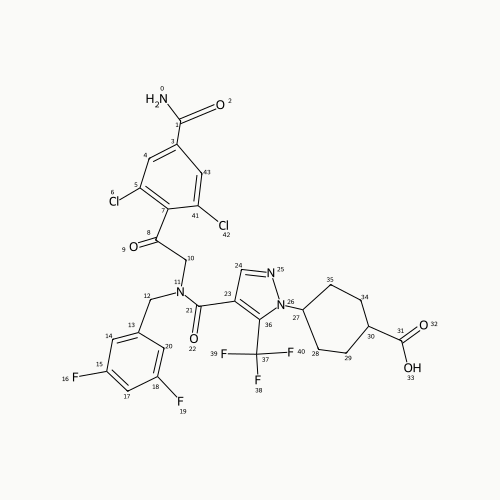 NC(=O)c1cc(Cl)c(C(=O)CN(Cc2cc(F)cc(F)c2)C(=O)c2cnn(C3CCC(C(=O)O)CC3)c2C(F)(F)F)c(Cl)c1